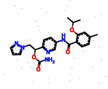 Cc1ccc(C(=O)Nc2ccc(C(Cn3cccn3)OC(N)=O)nc2)c(OC(C)C)c1